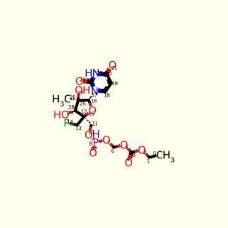 CCOC(=O)OCO[PH](=O)OC[C@@]1(CF)O[C@@H](n2ccc(=O)[nH]c2=O)[C@](C)(O)[C@@H]1O